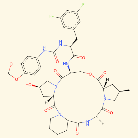 C[C@@H]1C[C@H]2C(=O)OC[C@H](NC(=O)[C@H](Cc3cc(F)cc(F)c3)NC(=O)Nc3ccc4c(c3)OCO4)C(=O)N3C[C@H](O)C[C@H]3C(=O)N3CCCCC3C(=O)N[C@@H](C)C(=O)N2C1